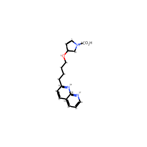 O=C(O)N1CCC(OCCCCc2ccc3cccnc3n2)C1